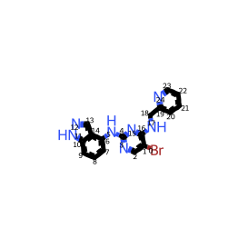 Brc1cnc(Nc2cccc3[nH]ncc23)nc1NCc1ccccn1